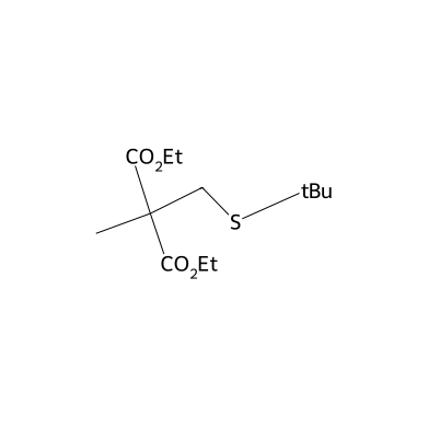 CCOC(=O)C(C)(CSC(C)(C)C)C(=O)OCC